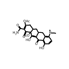 CC(=O)OC1=C(C(N)=O)C(=O)C2(OC(C)=O)C(O)=C3C(=O)c4c(O)ccc(N(C)C)c4CC3CC2C1